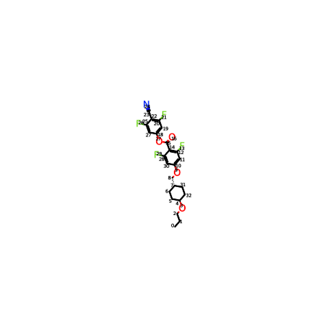 CCCO[C@H]1CC[C@H](COc2cc(F)c(C(=O)Oc3cc(F)c(C#N)c(F)c3)c(F)c2)CC1